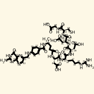 C[C@H](CCC(=O)N[C@@H](CC(=O)O)C(=O)N[C@@H](CCCCNC(=N)N)C(=O)N[C@@H](CC(=O)O)C(=O)N[C@@H](CC(=O)O)C(=O)N[C@H](CS)C(=O)NCC(=O)O)NC(=O)c1ccc(NCc2cnc3nc(N)[nH]c(=O)c3n2)cc1